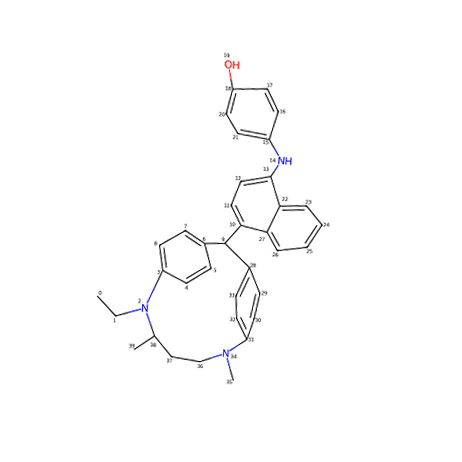 CCN1c2ccc(cc2)C(c2ccc(Nc3ccc(O)cc3)c3ccccc23)c2ccc(cc2)N(C)CCC1C